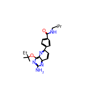 CCC(C)(C)Oc1nc(N)nc2ccc(-c3ccc(C(=O)NCC(C)C)cc3)nc12